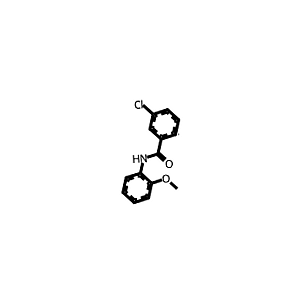 COc1ccccc1NC(=O)c1[c]ccc(Cl)c1